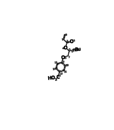 C=CC(=O)OC(CCCC)COc1ccc(C(=O)O)cc1